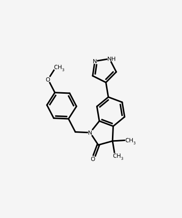 COc1ccc(CN2C(=O)C(C)(C)c3ccc(-c4cn[nH]c4)cc32)cc1